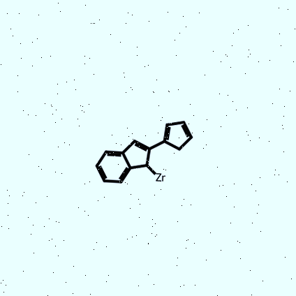 [Zr][CH]1C(C2=CC=CC2)=Cc2ccccc21